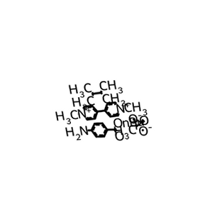 CC(C)C(C)C.CCCCOC(=O)c1ccc(N)cc1.CP(=O)([O-])[O-].C[n+]1ccc(-c2cc[n+](C)cc2)cc1